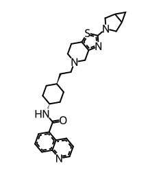 O=C(N[C@H]1CC[C@H](CCN2CCc3sc(N4CC5CC5C4)nc3C2)CC1)c1cccc2ncccc12